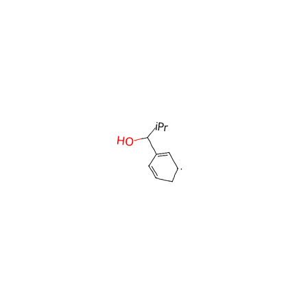 CC(C)C(O)C1=C[CH]CC=C1